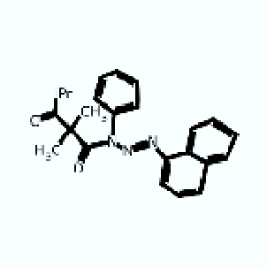 CC(C)C(=O)C(C)(C)C(=O)N(N=Nc1cccc2ccccc12)c1ccccc1